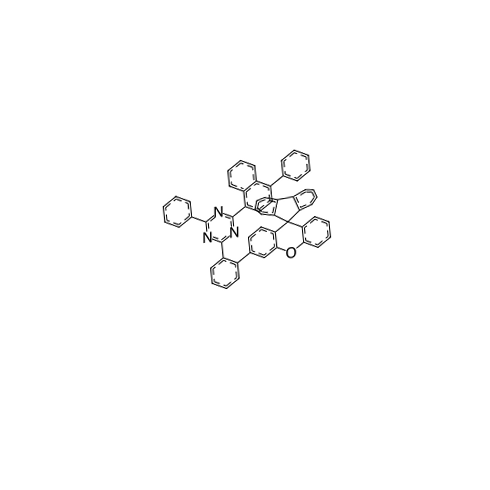 c1ccc(-c2nc(-c3ccccc3-c3ccc4c(c3)Oc3ccccc3C43c4ccccc4-c4ccccc43)nc(-c3ccc(-c4ccccc4)c4ccccc34)n2)cc1